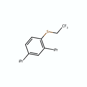 CC(C)c1ccc(SCC(F)(F)F)c(C(C)C)c1